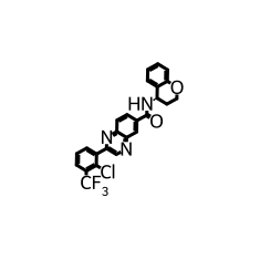 O=C(N[C@H]1CCOc2ccccc21)c1ccc2nc(-c3cccc(C(F)(F)F)c3Cl)cnc2c1